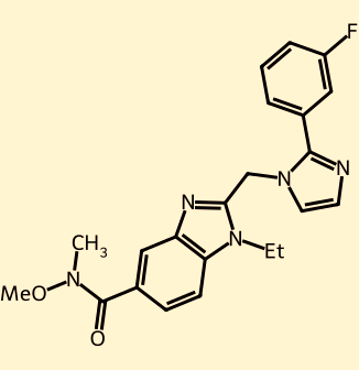 CCn1c(Cn2ccnc2-c2cccc(F)c2)nc2cc(C(=O)N(C)OC)ccc21